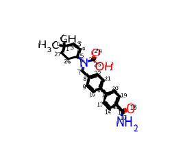 CC1(C)CCC(N(Cc2ccc(-c3ccc(C(N)=O)cc3)cc2)C(=O)O)CC1